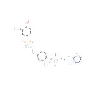 CC(C)(NCCCc1ncc[nH]1)c1ccc(CCNS(=O)(=O)c2ccc(O)c(O)c2)cc1